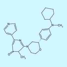 CC1C(=O)C=C(c2ccncc2)N=C1N1CCO[C@@H](c2ccc(N(C)C3CCCCC3)cc2)C1